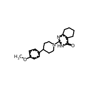 COc1ccc(C2CCN(c3nc4c(c(=O)[nH]3)CCCC4)CC2)cc1